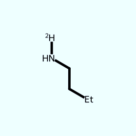 [2H]NCCCC